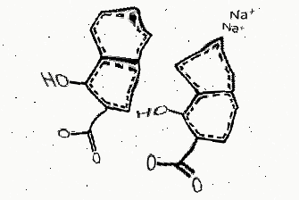 O=C([O-])c1ccc2ccccc2c1O.O=C([O-])c1ccc2ccccc2c1O.[Na+].[Na+]